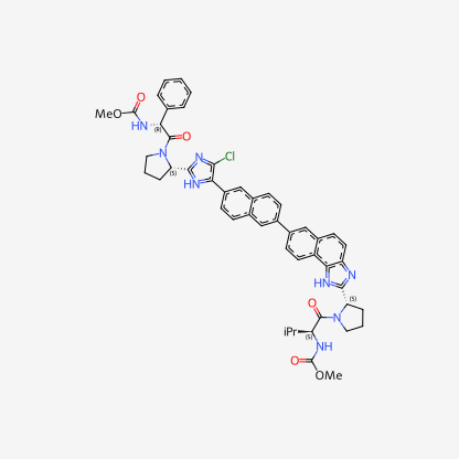 COC(=O)N[C@H](C(=O)N1CCC[C@H]1c1nc2ccc3cc(-c4ccc5cc(-c6[nH]c([C@@H]7CCCN7C(=O)[C@H](NC(=O)OC)c7ccccc7)nc6Cl)ccc5c4)ccc3c2[nH]1)C(C)C